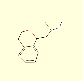 CCNC(Br)CC1OCCc2ccccc21